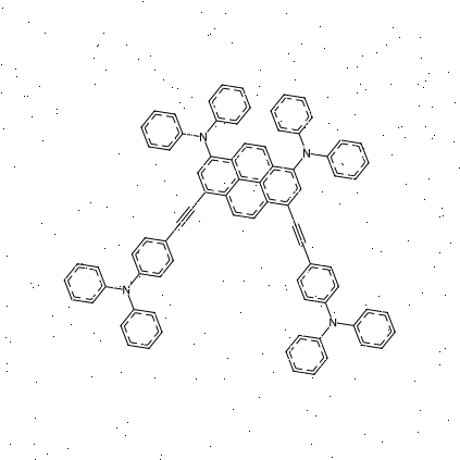 C(#Cc1cc(N(c2ccccc2)c2ccccc2)c2ccc3c(N(c4ccccc4)c4ccccc4)cc(C#Cc4ccc(N(c5ccccc5)c5ccccc5)cc4)c4ccc1c2c43)c1ccc(N(c2ccccc2)c2ccccc2)cc1